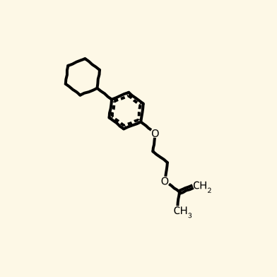 C=C(C)OCCOc1ccc(C2CCCCC2)cc1